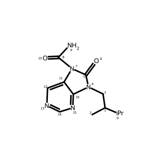 CC(C)C(C)Cn1c(=O)n(C(N)=O)c2cncnc21